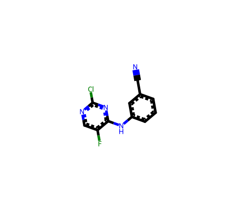 N#Cc1cccc(Nc2nc(Cl)ncc2F)c1